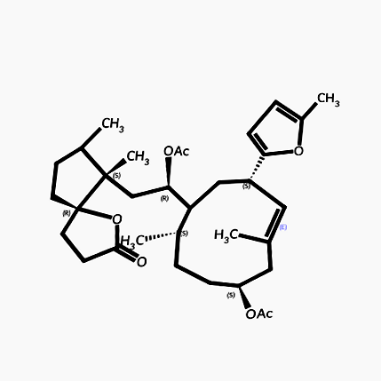 CC(=O)O[C@H]1CC[C@H](C)C([C@@H](C[C@@]2(C)C(C)CC[C@@]23CCC(=O)O3)OC(C)=O)C[C@H](c2ccc(C)o2)/C=C(\C)C1